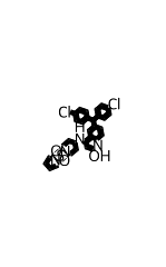 O=S(=O)(N1CCCC1)N1CCC(Nc2cc(O)nc3ccc(C(c4ccc(Cl)cc4)c4ccc(Cl)cc4)cc23)CC1